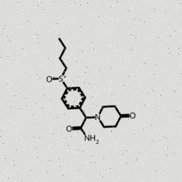 CCCC[S+]([O-])c1ccc(C(C(N)=O)N2CCC(=O)CC2)cc1